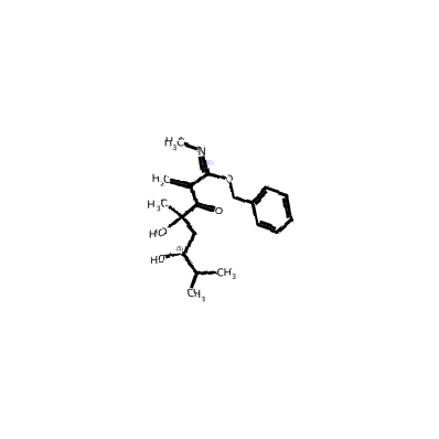 C=C(C(=O)C(C)(O)C[C@H](O)C(C)C)/C(=N\C)OCc1ccccc1